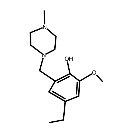 CCc1cc(CN2CCN(C)CC2)c(O)c(OC)c1